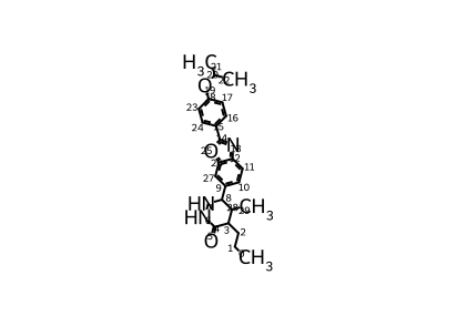 CCCC1C(=O)NNC(c2ccc3nc(-c4ccc(OC(C)C)cc4)oc3c2)C1C